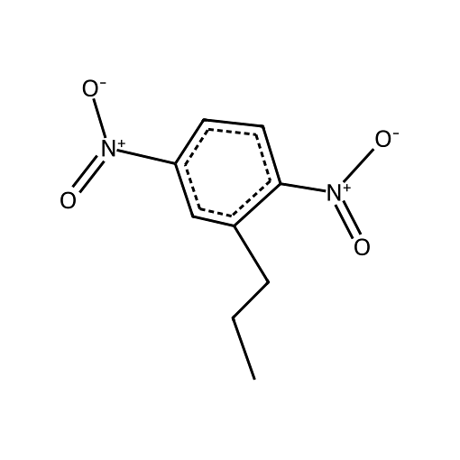 CCCc1cc([N+](=O)[O-])ccc1[N+](=O)[O-]